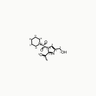 CC(=O)c1nc(CO)cn1S(=O)(=O)N1CCCCC1